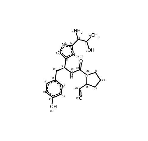 CC(O)C(N)c1noc([C@H](Cc2ccc(O)cc2)NC(=O)N2CCCC2C=O)n1